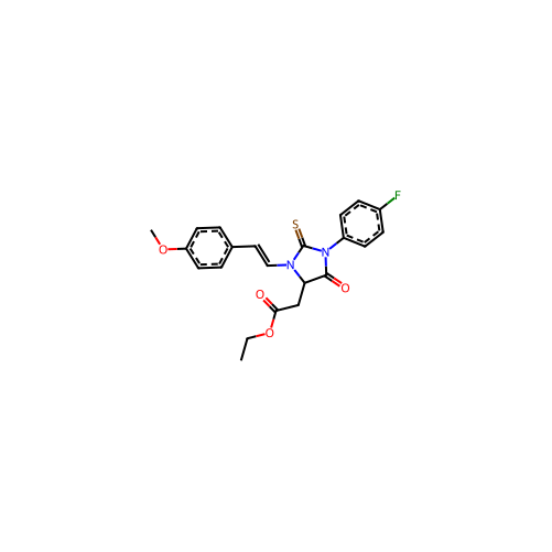 CCOC(=O)CC1C(=O)N(c2ccc(F)cc2)C(=S)N1C=Cc1ccc(OC)cc1